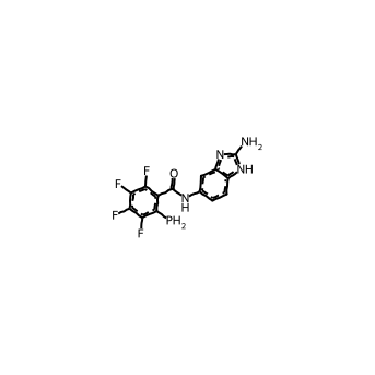 Nc1nc2cc(NC(=O)c3c(F)c(F)c(F)c(F)c3P)ccc2[nH]1